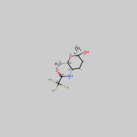 C[C@@H]1O[C@@](C)(O)CC[C@@H]1NC(=O)C(F)(F)F